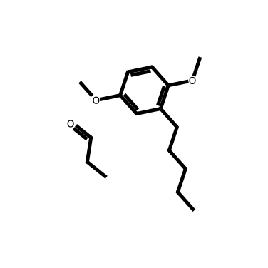 CCC=O.CCCCCc1cc(OC)ccc1OC